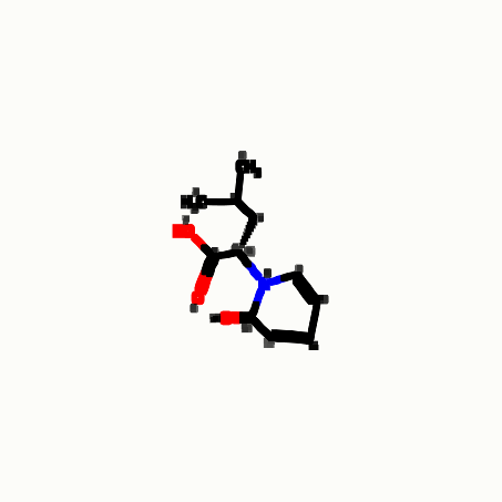 CC(C)C[C@@H](C(=O)O)n1ccccc1=O